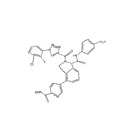 CNC(=O)c1ccc(-c2cccc3c2CCN(C(=O)c2cn(-c4cccc(Cl)c4F)nn2)C3C(=O)Nc2ccc(C(=O)O)cc2)cn1